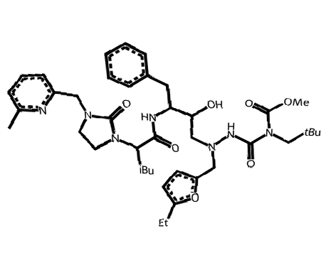 CCc1ccc(CN(CC(O)C(Cc2ccccc2)NC(=O)C(C(C)CC)N2CCN(Cc3cccc(C)n3)C2=O)NC(=O)N(CC(C)(C)C)C(=O)OC)o1